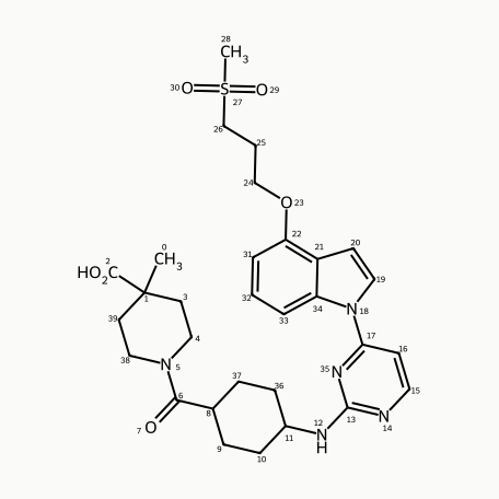 CC1(C(=O)O)CCN(C(=O)C2CCC(Nc3nccc(-n4ccc5c(OCCCS(C)(=O)=O)cccc54)n3)CC2)CC1